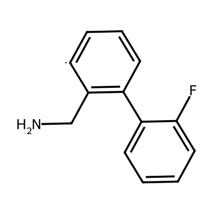 NCc1[c]cccc1-c1ccccc1F